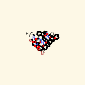 CCN1CCCC1CN(Cc1cc(Br)ccc1OC)C(c1cccc2ccccc12)C(c1cccc2ccccc12)(N(Cc1cccc(Br)c1)CC1CCCN1CC)C(CC1CCCN1CC)(c1cccc2ccccc12)N(C)c1ccc2ccccc2c1